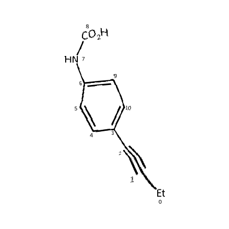 CCC#Cc1ccc(NC(=O)O)cc1